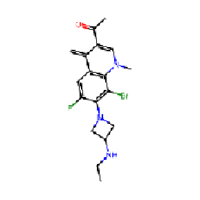 C=C1C(C(C)=O)=CN(C)c2c1cc(F)c(N1CC(NCC)C1)c2Br